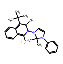 CB1C(C(C)(C)C)=c2ccccc2=C(C)N1N1C=CN(c2ccccc2)C1(C)C